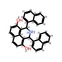 Oc1ccc2ccc(O)c3c2c1C(c1cccc2ccccc12)NC3c1cccc2ccccc12